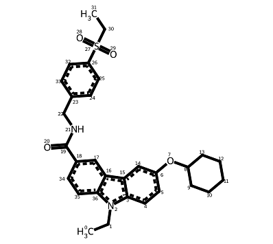 CCn1c2ccc(OC3CCCCC3)cc2c2cc(C(=O)NCc3ccc(S(=O)(=O)CC)cc3)ccc21